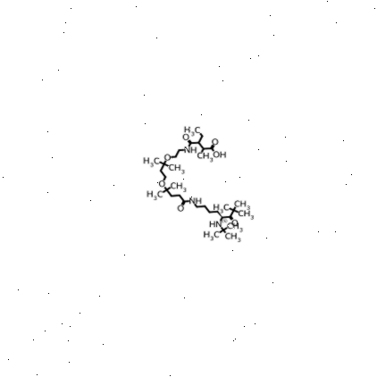 CCC(C(=O)NCCOC(C)(C)CCOC(C)(C)CCC(=O)NCCCC[C@H](NC(C)(C)C)C(=O)C(C)(C)C)C(C)C(=O)O